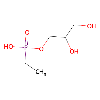 CCP(=O)(O)OCC(O)CO